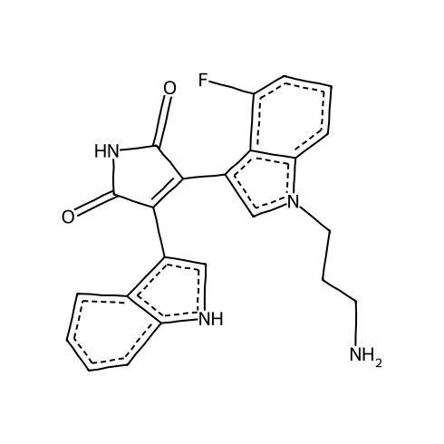 NCCCn1cc(C2=C(c3c[nH]c4ccccc34)C(=O)NC2=O)c2c(F)cccc21